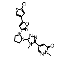 Cn1c(-c2cnn(C)c(=O)c2)nnc1N1CCC[C@@H]1c1cc(-c2csc(Cl)c2)on1